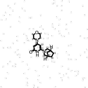 O=c1cc(N2CCOCC2)cc(N2C[C@@H]3CC[C@@H](C3)C2)[nH]1